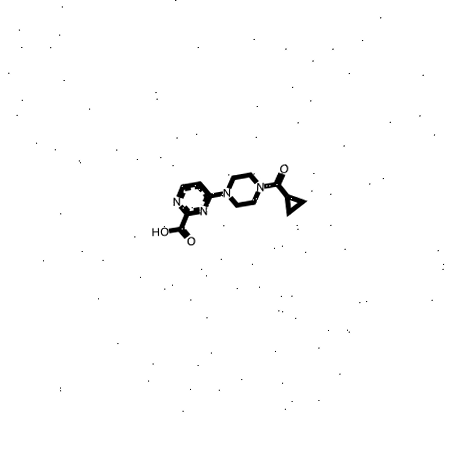 O=C(O)c1nccc(N2CCN(C(=O)C3CC3)CC2)n1